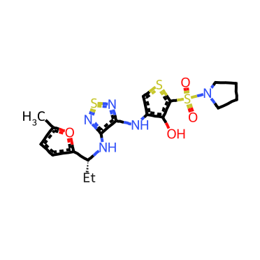 CC[C@@H](Nc1nsnc1Nc1csc(S(=O)(=O)N2CCCC2)c1O)c1ccc(C)o1